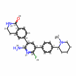 CC(C)N1CCCCC1c1ccc(-c2cc(-c3ccc4c(c3)CCNC4=O)c(N)nc2F)cc1